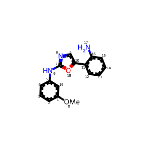 COc1cccc(Nc2ncc(-c3ccccc3N)o2)c1